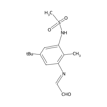 Cc1c(N=CC=O)cc(C(C)(C)C)cc1NS(C)(=O)=O